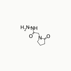 NNC(=O)CN1CCCC1=O